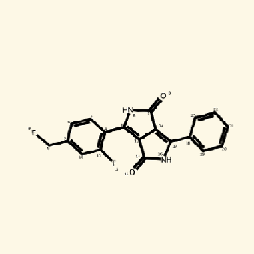 O=C1NC(c2ccc(CF)cc2F)=C2C(=O)NC(c3ccccc3)=C12